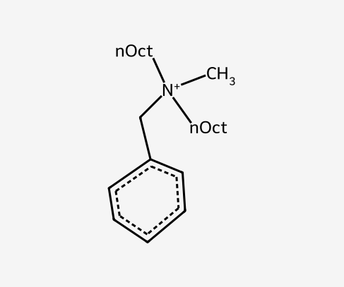 CCCCCCCC[N+](C)(CCCCCCCC)Cc1ccccc1